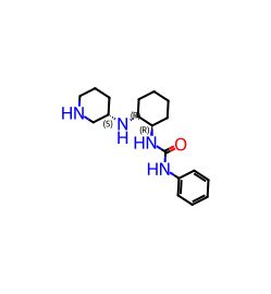 O=C(Nc1ccccc1)N[C@@H]1CCCC[C@H]1N[C@H]1CCCNC1